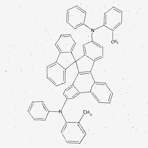 Cc1ccccc1N(c1ccccc1)c1ccc2c(c1)C1(c3ccccc3-c3ccccc31)c1c-2c2ccccc2c2cc(N(c3ccccc3)c3ccccc3C)ccc12